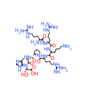 N=C(N)NCCC[C@H](NC(=O)[C@@H](N)CCCNC(=N)N)C(=O)N[C@@H](CCCCN)C(=O)N[C@@H](CCCNC(=N)N)C(=O)N1CCC[C@H]1C(=O)N[C@@H](Cc1c[nH]cn1)C(=O)N[C@@H](CO)C(=O)O